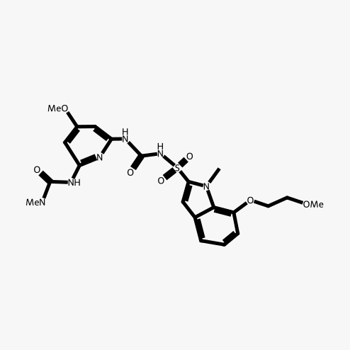 CNC(=O)Nc1cc(OC)cc(NC(=O)NS(=O)(=O)c2cc3cccc(OCCOC)c3n2C)n1